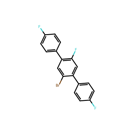 Fc1ccc(-c2cc(Br)c(-c3ccc(F)cc3)cc2F)cc1